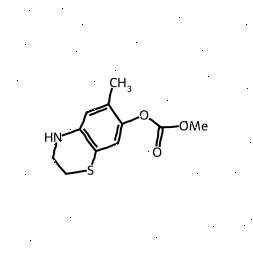 COC(=O)Oc1cc2c(cc1C)NCCS2